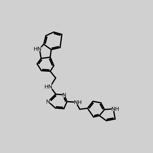 c1ccc2c(c1)[nH]c1ccc(CNc3nccc(NCc4ccc5[nH]ccc5c4)n3)cc12